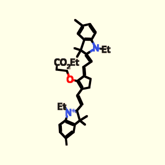 CCOC(=O)CCOC1=C(/C=C/C2=[N+](CC)c3ccc(C)cc3C2(C)C)CC/C1=C\C=C1\N(CC)c2ccc(C)cc2C1(C)C